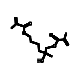 C=C(C)C(=O)OCCCCC(C)(O)COC(=O)C(=C)C